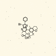 Cc1nc2c(Br)c(-c3ccccc3)nn2c(-c2cc(F)c3c(c2C)CCCO3)c1C(OC(C)(C)C)C(=O)O